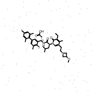 CCc1c(C)c(CCN2CC(OC)C2)cn(C(CC(C)C)C(=O)N[C@@H](CC(=O)O)c2cc(-c3c(C)cc(I)cc3C)cc(C)c2F)c1=O